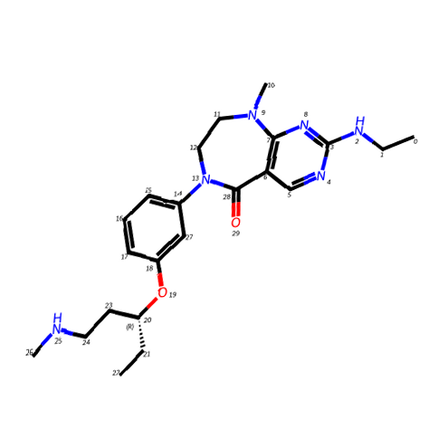 CCNc1ncc2c(n1)N(C)CCN(c1cccc(O[C@H](CC)CCNC)c1)C2=O